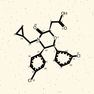 O=C(O)C[C@H]1O[C@@H](c2cccc(Cl)c2)[C@@H](c2ccc(Cl)cc2)N(CC2CC2)C1=O